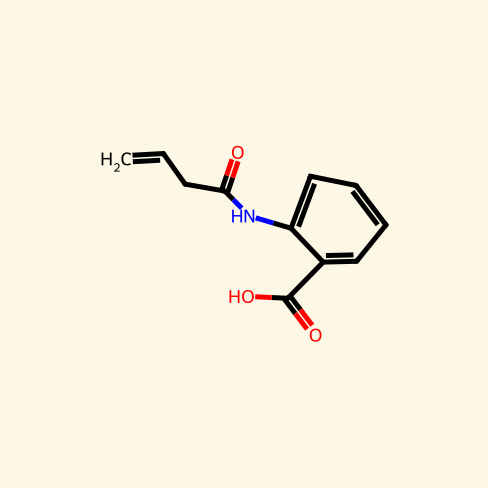 C=CCC(=O)Nc1ccccc1C(=O)O